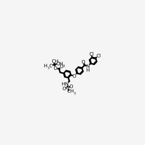 CC(C)(C)OC(=O)Cc1ccc(Oc2ccc(C(=O)Nc3ccc(Cl)c(Cl)c3)cc2)c(CNS(C)(=O)=O)c1